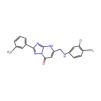 Cc1cccc(-c2nc3[nH]c(CNc4ccc(C)c(Cl)c4)cc(=O)n3n2)c1